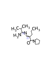 CCC/C(=C\N=C(/N)C(C)C)C(=O)N1CCCC1